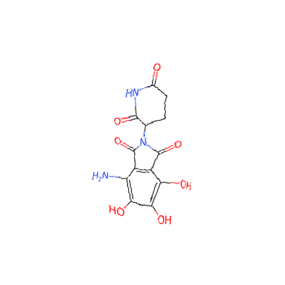 Nc1c(O)c(O)c(O)c2c1C(=O)N(C1CCC(=O)NC1=O)C2=O